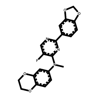 CN(c1ccc2c(c1)OCCO2)c1nc(-c2ccc3c(c2)OCO3)ncc1F